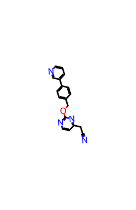 N#CCc1ccnc(OCc2ccc(-c3cccnc3)cc2)n1